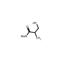 [CH2]CCCC(C)C(=O)NC